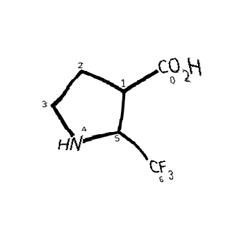 O=C(O)C1CCNC1C(F)(F)F